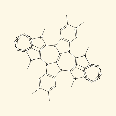 Cc1cc2c(cc1C)N(c1cc3ccccc3n1C)C(=C1N(c3cc4ccccc4n3C)c3cc(C)c(C)cc3N1c1cc3ccccc3n1C)N2c1cc2ccccc2n1C